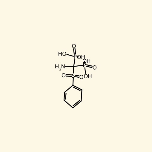 NC(P(=O)(O)O)(P(=O)(O)O)S(=O)(=O)c1ccccc1